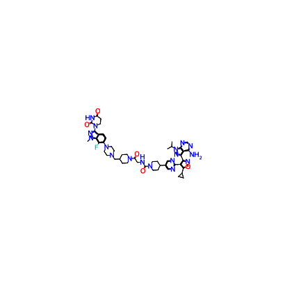 CC(C)n1nc(-c2noc(C3CC3)c2-c2ncc(C3CCN(C(=O)NCC(=O)N4CCC(CN5CCN(c6ccc7c(N8CCC(=O)NC8=O)nn(C)c7c6F)CC5)CC4)CC3)cn2)c2c(N)ncnc21